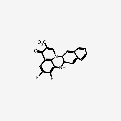 O=C(O)c1cn2c3c(c(F)c(F)cc3c1=O)NC1C=c3ccccc3=CC12